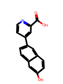 O=C(O)c1cc(-c2ccc3cc(O)ccc3c2)ccn1